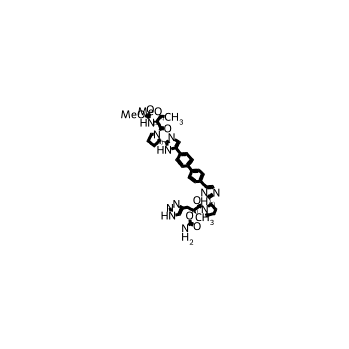 COC(=O)N[C@H](C(=O)N1CCC[C@H]1c1ncc(-c2ccc(-c3ccc(-c4cnc([C@@H]5CCCN5C(=O)[C@](C)(Cc5c[nH]nn5)OC(N)=O)[nH]4)cc3)cc2)[nH]1)[C@@H](C)OC